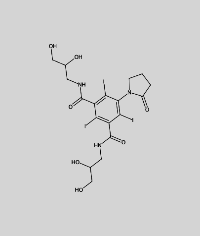 O=C(NCC(O)CO)c1c(I)c(C(=O)NCC(O)CO)c(I)c(N2CCCC2=O)c1I